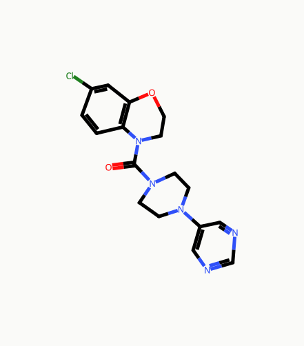 O=C(N1CCN(c2cncnc2)CC1)N1CCOc2cc(Cl)ccc21